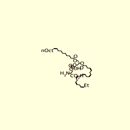 CC/C=C\C/C=C\C/C=C\C/C=C\C/C=C\C/C=C\CCC(=O)O[C@H](COC(=O)CCCCCCC/C=C\CCCCCCCC)COP(=O)(O)OC[C@H](N)C(=O)O